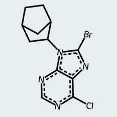 Clc1ncnc2c1nc(Br)n2C1CC2CCC1C2